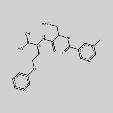 COCC(NC(=O)c1cncc(C)c1)C(=O)N[C@@H](CCOc1ccccc1)B(O)O